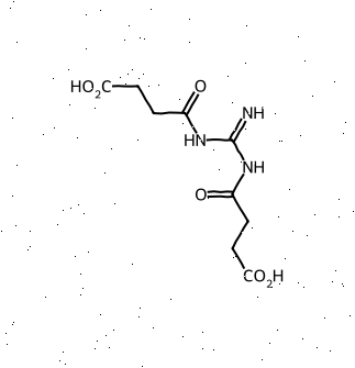 N=C(NC(=O)CCC(=O)O)NC(=O)CCC(=O)O